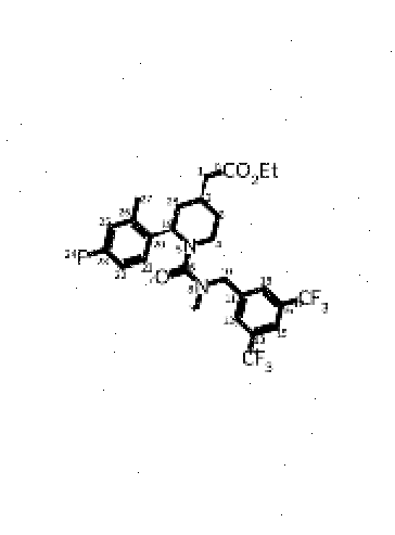 CCOC(=O)C[C@H]1CCN(C(=O)N(C)Cc2cc(C(F)(F)F)cc(C(F)(F)F)c2)[C@@H](c2ccc(F)cc2C)C1